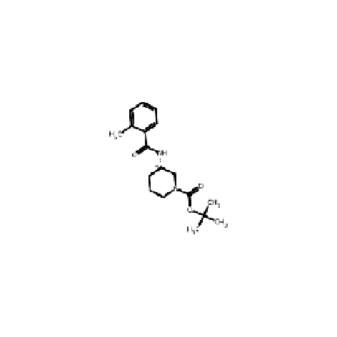 Cc1ccccc1C(=O)N[C@H]1CCCN(C(=O)OC(C)(C)C)C1